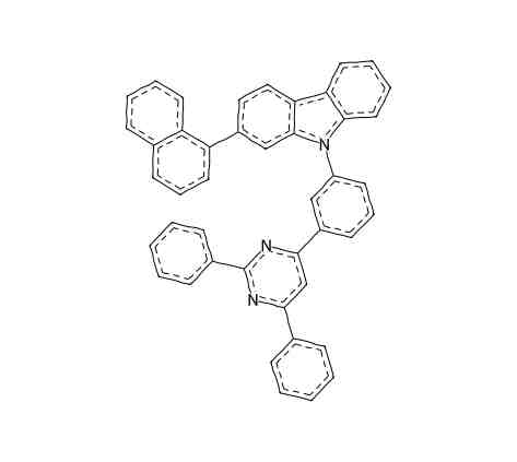 c1ccc(-c2cc(-c3cccc(-n4c5ccccc5c5ccc(-c6cccc7ccccc67)cc54)c3)nc(-c3ccccc3)n2)cc1